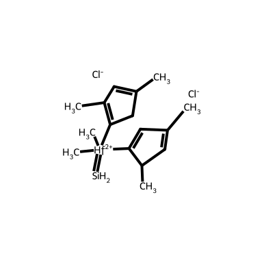 CC1=CC(C)[C]([Hf+2]([CH3])([CH3])(=[SiH2])[C]2=C(C)C=C(C)C2)=C1.[Cl-].[Cl-]